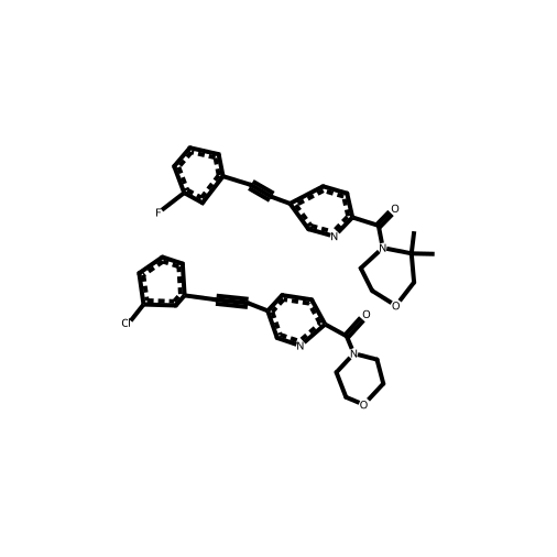 CC1(C)COCCN1C(=O)c1ccc(C#Cc2cccc(F)c2)cn1.O=C(c1ccc(C#Cc2cccc(Cl)c2)cn1)N1CCOCC1